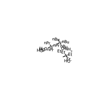 CCCC[N+](C)(CCCC)CCCC.CCC[N+](C)(CCC)CCC.CCON.CC[N+](C)(CC)CC.O.[OH-].[OH-].[OH-]